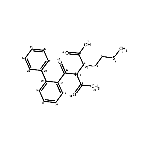 CSCC[C@@H](C(=O)O)N(C(C)=O)C(=O)c1ccccc1-c1ccccc1